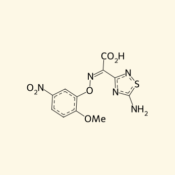 COc1ccc([N+](=O)[O-])cc1ON=C(C(=O)O)c1nsc(N)n1